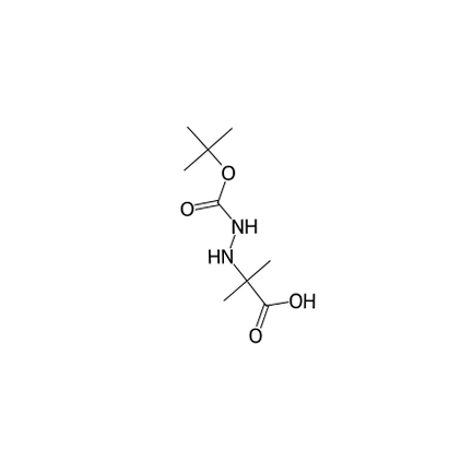 CC(C)(C)OC(=O)NNC(C)(C)C(=O)O